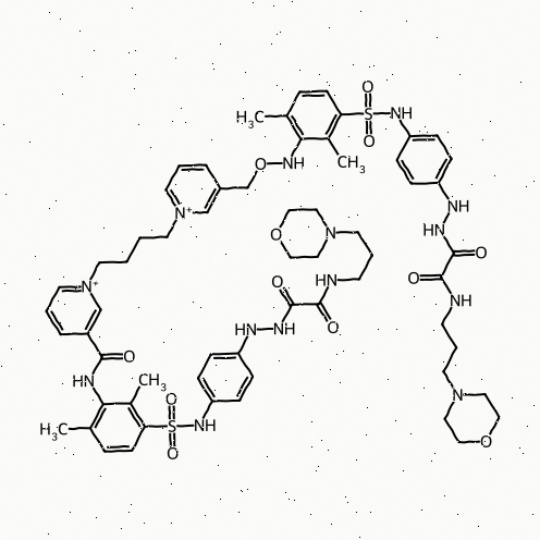 Cc1ccc(S(=O)(=O)Nc2ccc(NNC(=O)C(=O)NCCCN3CCOCC3)cc2)c(C)c1NOCc1ccc[n+](CCCC[n+]2cccc(C(=O)Nc3c(C)ccc(S(=O)(=O)Nc4ccc(NNC(=O)C(=O)NCCCN5CCOCC5)cc4)c3C)c2)c1